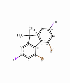 CC1(C)c2cc(I)cc(Br)c2-c2c(Br)cc(I)cc21